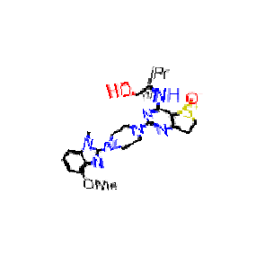 COc1cccc2c1nc(N1CCN(c3nc4c(c(N[C@@H](CO)C(C)C)n3)[S+]([O-])CC4)CC1)n2C